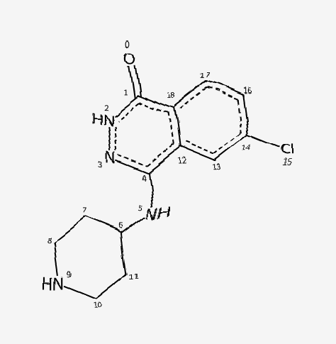 O=c1[nH]nc(NC2CCNCC2)c2cc(Cl)ccc12